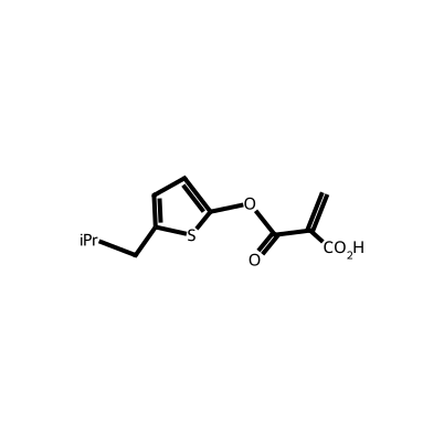 C=C(C(=O)O)C(=O)Oc1ccc(CC(C)C)s1